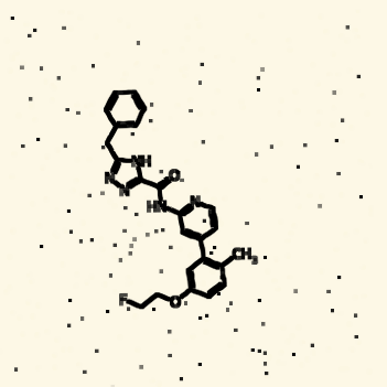 Cc1ccc(OCCF)cc1-c1ccnc(NC(=O)c2nnc(Cc3ccccc3)[nH]2)c1